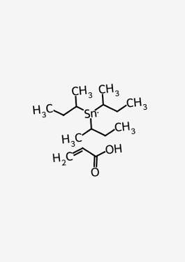 C=CC(=O)O.CC[CH](C)[Sn]([CH](C)CC)[CH](C)CC